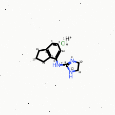 [Cl-].[H+].c1cc2c(c(NC3=NCCN3)c1)CCC2